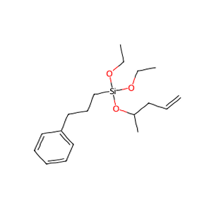 C=CCC(C)O[Si](CCCc1ccccc1)(OCC)OCC